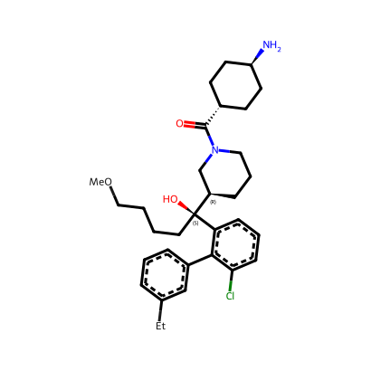 CCc1cccc(-c2c(Cl)cccc2[C@](O)(CCCCOC)[C@@H]2CCCN(C(=O)[C@H]3CC[C@H](N)CC3)C2)c1